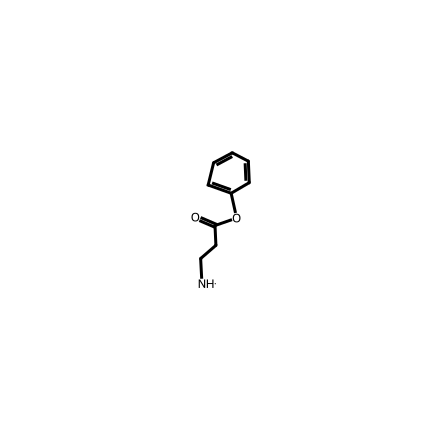 [NH]CCC(=O)Oc1ccccc1